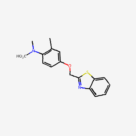 Cc1cc(OCc2nc3ccccc3s2)ccc1N(C)C(=O)O